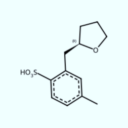 Cc1ccc(S(=O)(=O)O)c(C[C@H]2CCCO2)c1